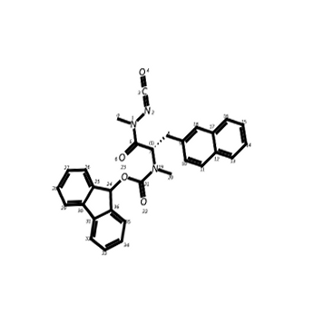 CN(N=C=O)C(=O)[C@H](Cc1ccc2ccccc2c1)N(C)C(=O)OC1c2ccccc2-c2ccccc21